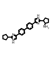 NC1CCCC1c1nc(-c2ccc(-c3ccc(-c4c[nH]c(C5CCCC5)n4)cc3)cc2)c[nH]1